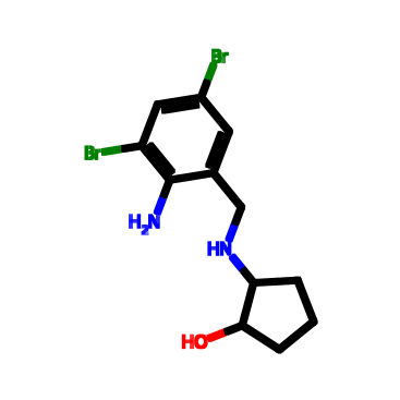 Nc1c(Br)cc(Br)cc1CNC1CCCC1O